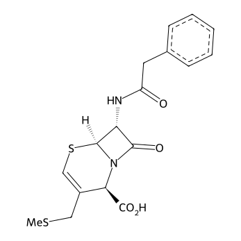 CSCC1=CS[C@H]2[C@H](NC(=O)Cc3ccccc3)C(=O)N2[C@H]1C(=O)O